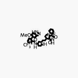 COc1cc2[nH]ncc2cc1-c1ccc(C(F)(F)F)nc1C(=O)NC1CCNC(CCC2CCN(C3C=CC=CC3(F)C3CCC(=O)NC3=O)CC2)C1